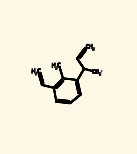 [CH2]C(C=C)c1cccc(C=C)c1C